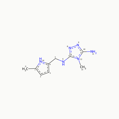 Cc1ccc(CNc2nnc(N)n2C)[nH]1